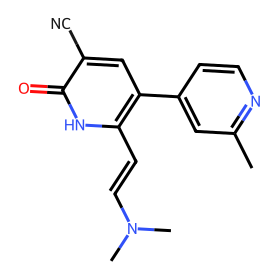 Cc1cc(-c2cc(C#N)c(=O)[nH]c2C=CN(C)C)ccn1